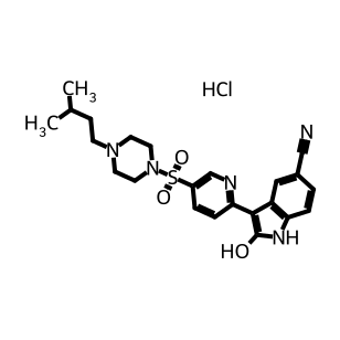 CC(C)CCN1CCN(S(=O)(=O)c2ccc(-c3c(O)[nH]c4ccc(C#N)cc34)nc2)CC1.Cl